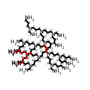 NCCCN(CN)CCCN(CCCN(CN)CCCN)CCCN(CCCN(CCCN(CN)CCCN)CCCN(CCCN)CCCN)CCCN(CCCN(CCCN(CN)CCCN)CCCN(CCCN)CCCN)CCCN(CCCN(CN)CCCN)CCCN(CCCN)CCCN